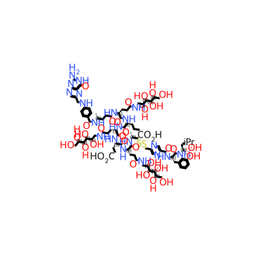 CC(C)C[C@H](NC(=O)[C@H](Cc1ccccc1)NC(=O)c1cnc(CSSC[C@@H](C)NC(=O)[C@H](CCC(=O)NC[C@H](O)[C@@H](O)[C@H](O)[C@H](O)CO)NC(=O)[C@H](CCC(=O)O)NC(=O)[C@H](CCC(=O)NC[C@H](O)[C@@H](O)[C@H](O)[C@H](O)CO)NC(=O)[C@H](CCCC(=O)O)NC(=O)[C@H](CCC(=O)NC[C@H](O)[C@@H](O)[C@H](O)[C@H](O)CO)NC(=O)CC[C@@H](C)NC(=O)c2ccc(NCc3cnc4nc(N)[nH]c(=O)c4n3)cc2)cn1)B(O)O